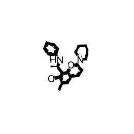 Cc1cc2ccc(N3CCCCC3)oc-2c([C@@H](C)Nc2ccccc2)c1=O